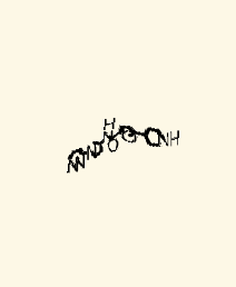 O=C(NC1CCN(c2cccnn2)C1)c1ccc(C2CCNCC2)o1